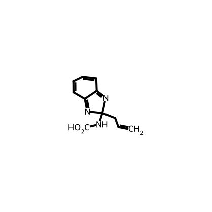 C=CCC1(NC(=O)O)N=c2ccccc2=N1